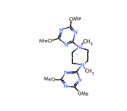 COc1nc(OC)nc([N+]2(C)CC[N+](C)(c3nc(OC)nc(OC)n3)CC2)n1